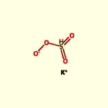 O=[SH](=O)O[O-].[K+]